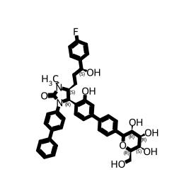 CN1C(=O)N(c2ccc(-c3ccccc3)cc2)[C@H](c2ccc(-c3ccc(C4O[C@H](CO)[C@@H](O)[C@H](O)[C@H]4O)cc3)cc2O)[C@@H]1CC[C@H](O)c1ccc(F)cc1